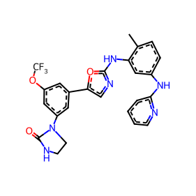 Cc1ccc(Nc2ccccn2)cc1Nc1ncc(-c2cc(OC(F)(F)F)cc(N3CCNC3=O)c2)o1